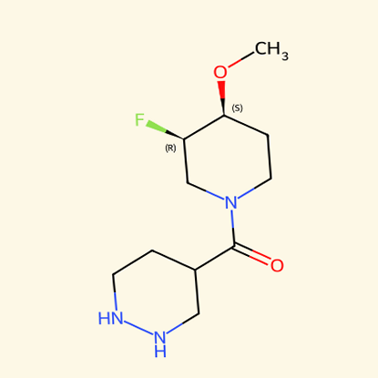 CO[C@H]1CCN(C(=O)C2CCNNC2)C[C@H]1F